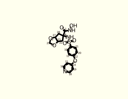 O=C(NO)C1(NS(=O)(=O)c2ccc(Oc3ccncc3)cc2)CC2OCOC2C1